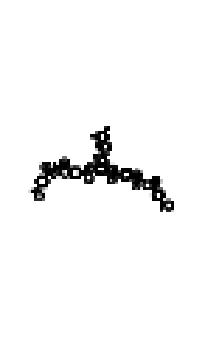 CC(=O)C1CCC(C(=O)OCC(=O)OC2CCC(C(=O)Oc3ccc(OC(=O)C4CCC(OC(=O)C(C)OC(=O)C5CCC(C(C)=O)CC5)CC4)c4nc(-c5cc6c(C)cc(C)cc6o5)sc34)CC2)CC1